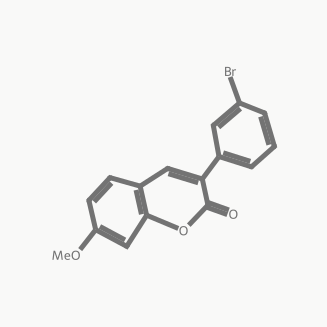 COc1ccc2cc(-c3cccc(Br)c3)c(=O)oc2c1